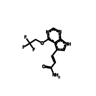 NC(=O)C=Cc1c[nH]c2ncnc(OCC(F)(F)F)c12